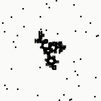 NNC(=O)Cn1cc(-c2ccc(Cl)cc2)n(CC(O)C(F)(F)F)c1=O